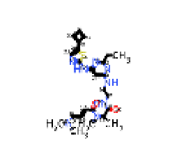 CCc1nc(NCCNC(=O)C(C)N(C)C(=O)/C=C/CN(C)C)cc(Nc2ncc(C3CCC3)s2)n1